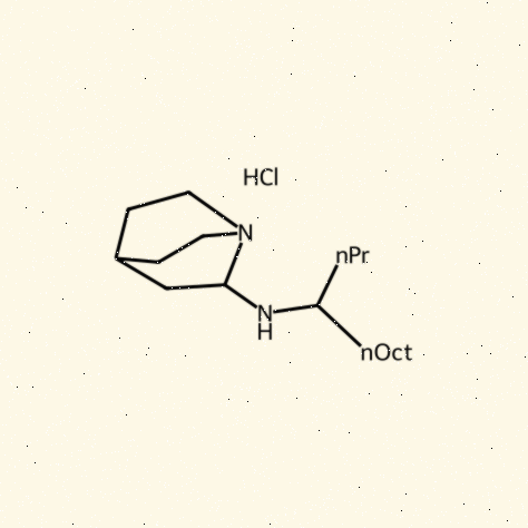 CCCCCCCCC(CCC)NC1CC2CCN1CC2.Cl